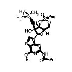 CCOc1nc(NC(=O)C(C)C)nc2c1ncn2[C@@H]1O[C@@H]2COS(=O)(=PI)O[C@H]2[C@@]1(O)C#C[Si](C)(C)C